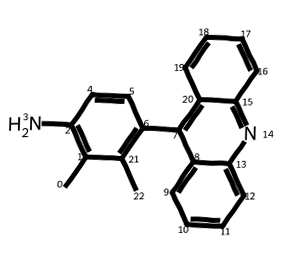 Cc1c(N)ccc(-c2c3ccccc3nc3ccccc23)c1C